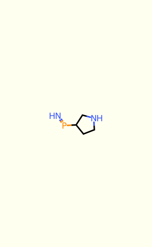 N=PC1CCNC1